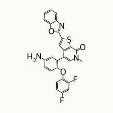 Cn1cc(-c2cc(N)ccc2Oc2ccc(F)cc2F)c2cc(-c3nc4ccccc4o3)sc2c1=O